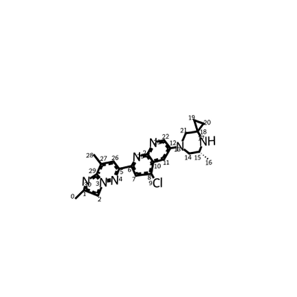 Cc1cn2nc(-c3cc(Cl)c4cc(N5C[C@@H](C)NC6(CC6)C5)cnc4n3)cc(C)c2n1